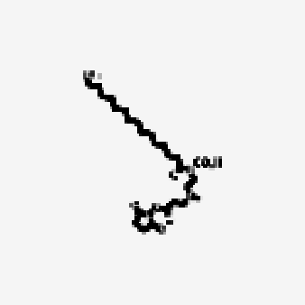 CN(CCC(=O)ON1C(=O)CCC1=O)CCN(C(=O)O)C(=O)CCCCCCCCCCCCCCC(C)(C)C